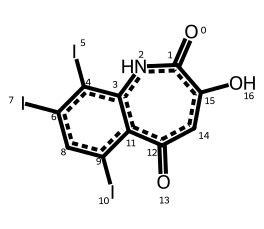 O=c1[nH]c2c(I)c(I)cc(I)c2c(=O)cc1O